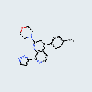 Cc1ccc(-c2cc(N3CCOCC3)nc3c(-c4ccn[nH]4)nccc23)cc1